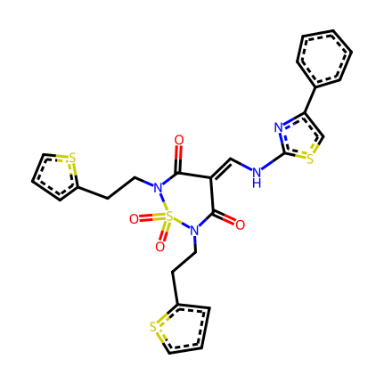 O=C1C(=CNc2nc(-c3ccccc3)cs2)C(=O)N(CCc2cccs2)S(=O)(=O)N1CCc1cccs1